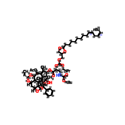 C=C[C@H]1O[C@H]2C[C@H]3OC[C@@]3(OC(C)=O)[C@H]3[C@H](OC(=O)c4ccccc4)[C@]4(C(C)(C)O)C[C@H](OC(=O)[C@H](OC(=O)OCC5COC(CCCCCCCC/C=C\C/C=C\CCCC)O5)[C@H](CC(C)C)NC(=O)OC(C)(C)C)C(C)=C4[C@H](OC(C)=O)[C@H](O1)[C@]23C